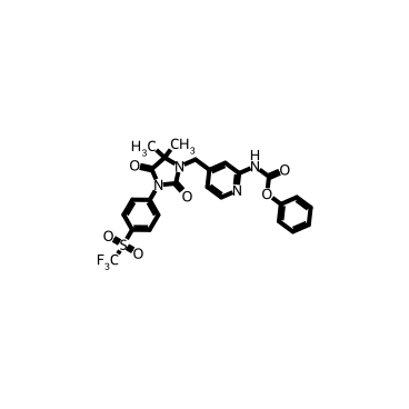 CC1(C)C(=O)N(c2ccc(S(=O)(=O)C(F)(F)F)cc2)C(=O)N1Cc1ccnc(NC(=O)Oc2ccccc2)c1